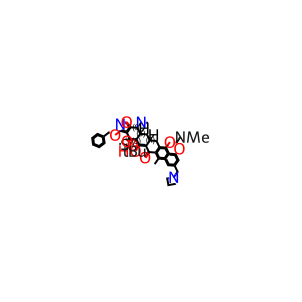 CNC(=O)Oc1c2c(c(C)c3cc(CN4CCC4)ccc13)C(=O)C1=C(O)[C@]3(O[Si](C)(C)C(C)(C)C)C(=O)c4c(OCc5ccccc5)noc4[C@@H](N(C)C)[C@@H]3C[C@@H]1C2